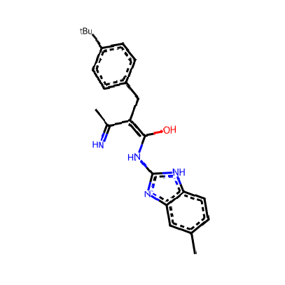 CC(=N)/C(Cc1ccc(C(C)(C)C)cc1)=C(/O)Nc1nc2cc(C)ccc2[nH]1